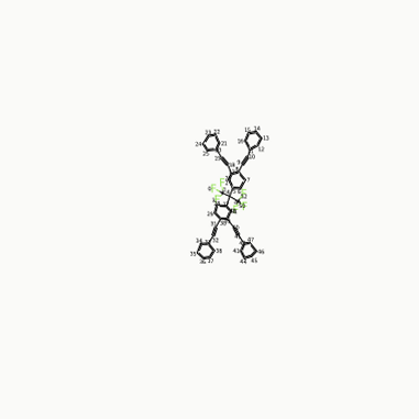 FC(F)(F)C(c1ccc(C#Cc2ccccc2)c(C#Cc2ccccc2)c1)(c1ccc(C#Cc2ccccc2)c(C#Cc2ccccc2)c1)C(F)(F)F